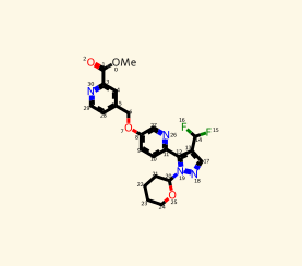 COC(=O)c1cc(COc2ccc(-c3c(C(F)F)cnn3C3CCCCO3)nc2)ccn1